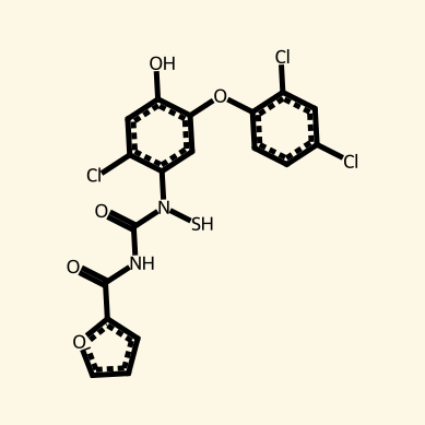 O=C(NC(=O)N(S)c1cc(Oc2ccc(Cl)cc2Cl)c(O)cc1Cl)c1ccco1